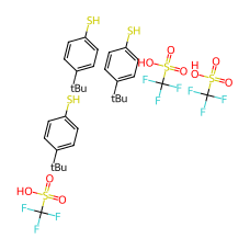 CC(C)(C)c1ccc(S)cc1.CC(C)(C)c1ccc(S)cc1.CC(C)(C)c1ccc(S)cc1.O=S(=O)(O)C(F)(F)F.O=S(=O)(O)C(F)(F)F.O=S(=O)(O)C(F)(F)F